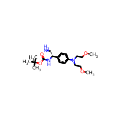 COCCN(CCOC)c1ccc([C@@H](CN)NC(=O)OC(C)(C)C)cc1